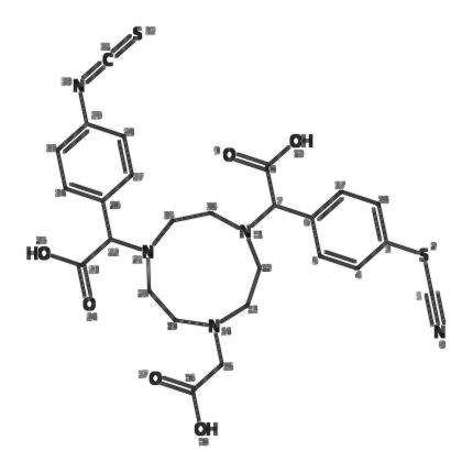 N#CSc1ccc(C(C(=O)O)N2CCN(CC(=O)O)CCN(C(C(=O)O)c3ccc(N=C=S)cc3)CC2)cc1